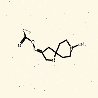 CC(=O)ON=C1COC2(CCN(C)CC2)C1